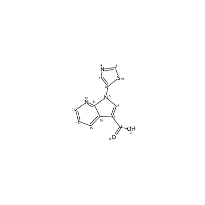 O=C(O)c1cn(-c2cncs2)c2ncccc12